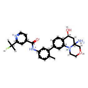 Cc1ccc(NC(=O)c2ccnc(C(C)(C)F)c2)cc1-c1ccc2c(c1)N1CCOCC1(N)C[C@@H]2O